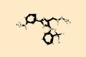 COOCc1sc(-c2cccc(OC)c2)nc1Nc1ccccc1C(F)(F)F